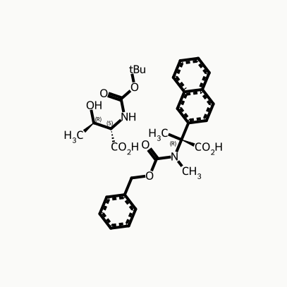 CN(C(=O)OCc1ccccc1)[C@@](C)(C(=O)O)c1ccc2ccccc2c1.C[C@@H](O)[C@H](NC(=O)OC(C)(C)C)C(=O)O